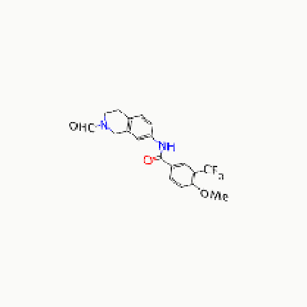 COc1ccc(C(=O)Nc2ccc3c(c2)CN(C=O)CC3)cc1C(F)(F)F